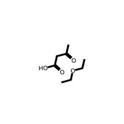 CC(=O)CC(=O)O.CCOCC